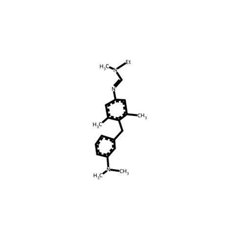 CCN(C)C=Nc1cc(C)c(Cc2cccc(N(C)C)c2)c(C)c1